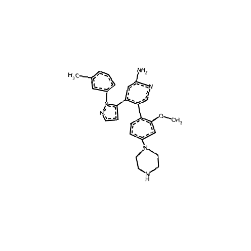 COc1cc(N2CCNCC2)ccc1-c1cnc(N)cc1-c1ccnn1-c1cccc(C)c1